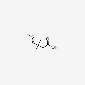 CSSC(C)(C)CC(=O)O